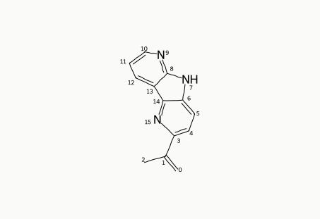 C=C(C)c1ccc2[nH]c3ncccc3c2n1